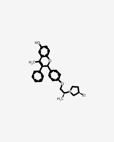 CC[C@@H]1CCN([C@@H](C)COc2ccc(C3Oc4ccc(O)cc4C(C)=C3c3ccccc3)cc2)C1